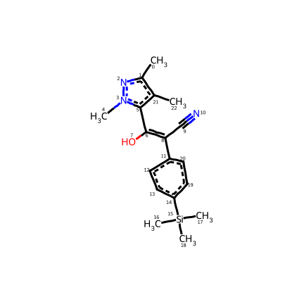 Cc1nn(C)c(C(O)=C(C#N)c2ccc([Si](C)(C)C)cc2)c1C